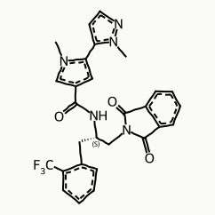 Cn1cc(C(=O)N[C@@H](Cc2ccccc2C(F)(F)F)CN2C(=O)c3ccccc3C2=O)cc1-c1ccnn1C